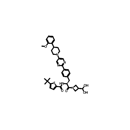 COc1ccccc1C1CCN(c2cnc(-c3ccc(C[C@H](NC(=O)c4ccc(C(C)(C)C)s4)C(=O)N4CC(C(O)O)C4)cc3)nc2)CC1